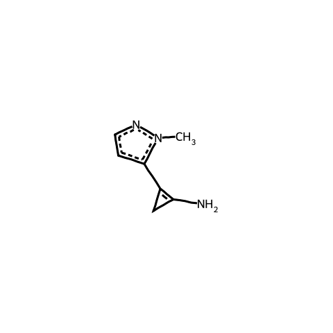 Cn1nccc1C1=C(N)C1